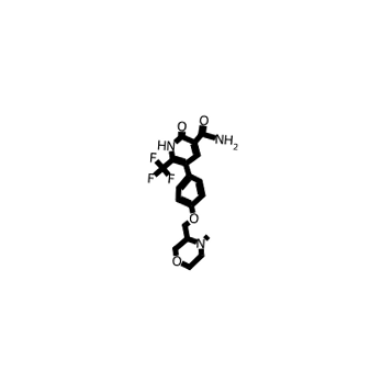 CN1CCOCC1COc1ccc(-c2cc(C(N)=O)c(=O)[nH]c2C(F)(F)F)cc1